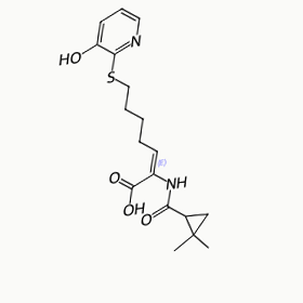 CC1(C)CC1C(=O)N/C(=C/CCCCSc1ncccc1O)C(=O)O